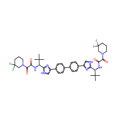 CC(C)(C)[C@H](NC(=O)C(=O)N1CCCC(F)(F)C1)c1nc(-c2ccc(-c3ccc(-c4c[nH]c([C@@H](NC(=O)C(=O)N5CCCC(F)(F)C5)C(C)(C)C)n4)cc3)cc2)c[nH]1